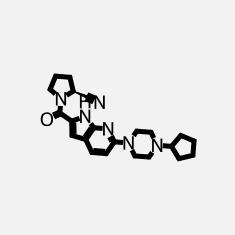 N#C[C@@H]1CCCN1C(=O)c1cc2ccc(N3CCN(C4CCCC4)CC3)nc2[nH]1